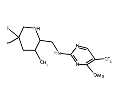 COc1nc(NCC2NCC(F)(F)CC2C)ncc1C(F)(F)F